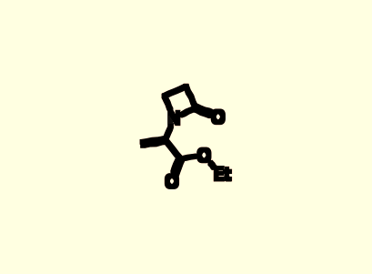 C=C(C(=O)OCC)N1CCC1=O